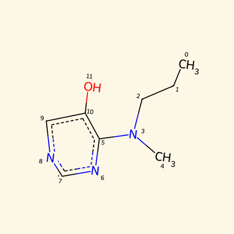 CCCN(C)c1n[c]ncc1O